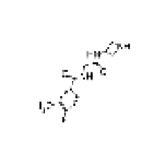 Cc1cc(C(=O)NCC(=O)NC2CNC2)ccc1F